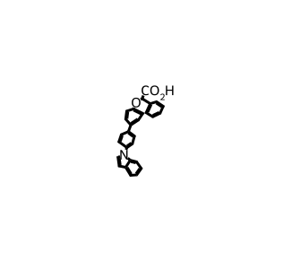 O=C(O)C(Oc1ccc(-c2ccc(-n3ccc4ccccc43)cc2)cc1)c1ccccc1